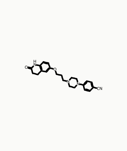 N#Cc1ccc(N2CCN(CCCOc3ccc4c(c3)CCC(=O)N4)CC2)cc1